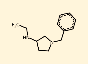 FC(F)(F)CNC1CCN(Cc2ccccc2)C1